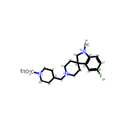 CCOC(=O)N1CCC(CN2CCC3(CC2)CN(C(C)=O)c2ccc(F)cc23)CC1